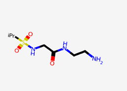 CC(C)S(=O)(=O)NCC(=O)NCCN